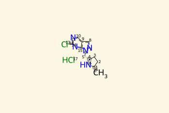 C[C@H]1CC[C@@H](Cn2ncc3cnc(Cl)nc32)N1.Cl